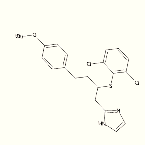 CC(C)(C)Oc1ccc(CCC(Cc2ncc[nH]2)Sc2c(Cl)cccc2Cl)cc1